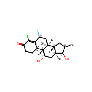 C[C@@H]1C[C@H]2[C@@H]3C[C@H](F)C4=C(Cl)C(=O)CC[C@]4(C)[C@H]3[C@@H](O)C[C@]2(C)[C@@H]1O